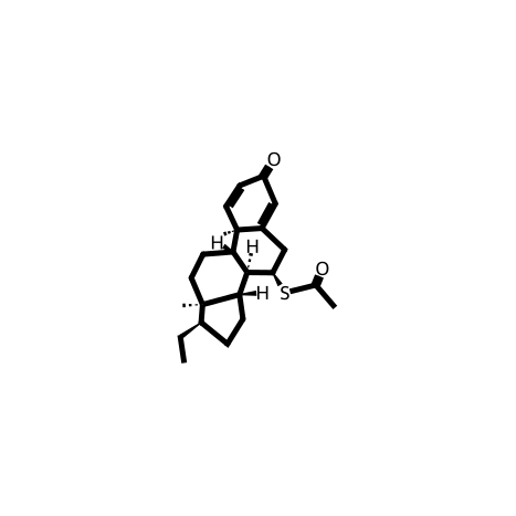 CC[C@@H]1CC[C@H]2[C@@H]3[C@H](SC(C)=O)CC4=CC(=O)C=C[C@]4(C)[C@H]3CC[C@]12C